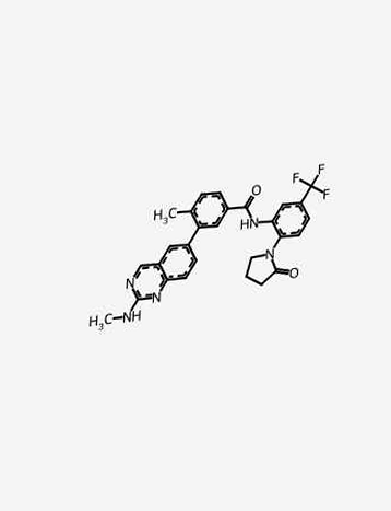 CNc1ncc2cc(-c3cc(C(=O)Nc4cc(C(F)(F)F)ccc4N4CCCC4=O)ccc3C)ccc2n1